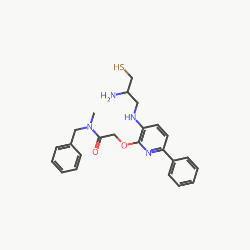 CN(Cc1ccccc1)C(=O)COc1nc(-c2ccccc2)ccc1NCC(N)CS